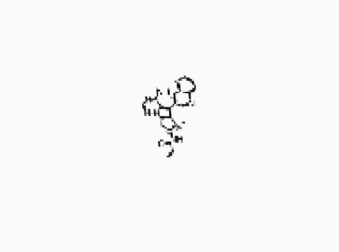 C=CC(=O)N[C@H]1Cc2c(c(-c3cnc4ccccc4c3)c3c(N)ncnn23)[C@H]1C